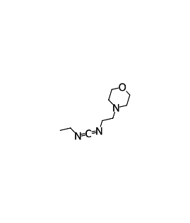 CCN=C=NCCN1CCOCC1